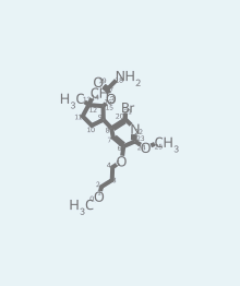 COCCCOc1cc(C2CCC(C)(C)C2OC(N)=O)c(Br)nc1OC